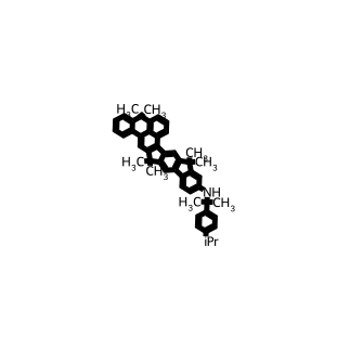 CC(C)c1ccc(C(C)(C)Nc2ccc3c(c2)C(C)(C)c2cc4c(cc2-3)C(C)(C)c2cc3c5c(cccc5c2-4)C(C)(C)c2ccccc2-3)cc1